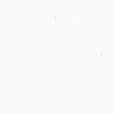 CC1C(C)C2CC1C(C(=O)OC1COC(=O)C1)C2C(=O)OC(C)(C)C